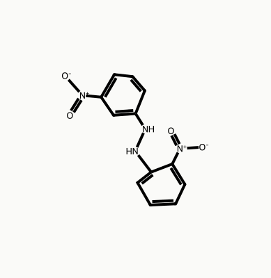 O=[N+]([O-])c1cccc(NNc2ccccc2[N+](=O)[O-])c1